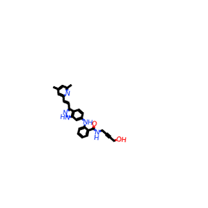 Cc1cc(C)nc(/C=C/c2n[nH]c3cc(Nc4ccccc4C(=O)NCC#CCO)ccc23)c1